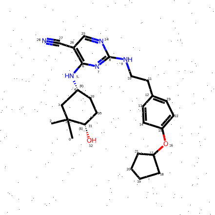 CC1(C)C[C@H](Nc2nc(NCCc3ccc(OC4CCCC4)cc3)ncc2C#N)CC[C@@H]1O